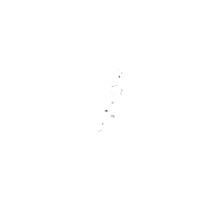 C=C[C@@H]1CC[C@@H]2C[C@H](c3ccc(C#N)c(F)c3)CC[C@@H]2C1